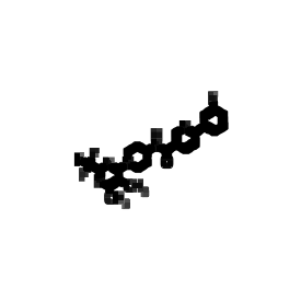 Cc1nc(C(F)(F)F)nc(N2CCC(NC(=O)c3ccc(-c4cccc(F)c4)nc3)CC2)c1C